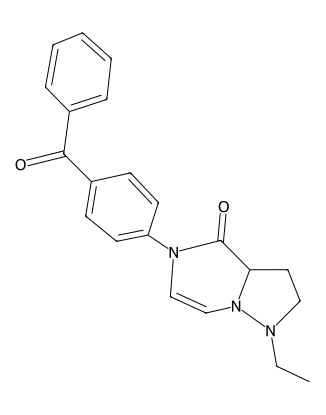 CCN1CCC2C(=O)N(c3ccc(C(=O)c4ccccc4)cc3)C=CN21